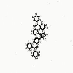 C(=C(c1ccccc1)c1ccccc1)c1ccc2c(c1)C13CCCC1(CCC3)c1cc(C=C(c3ccccc3)c3ccccc3)ccc1-2